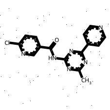 Cc1nc(NC(=O)c2ccc(Cl)nc2)nc(-c2ccncc2)n1